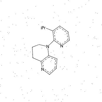 CC(C)c1cccnc1N1CCCc2ncccc21